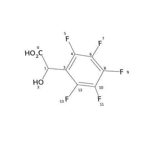 O=C(O)C(O)c1c(F)c(F)c(F)c(F)c1F